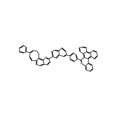 C1=C\c2ccc3ccc(-c4ccc5ccc(-c6ccc(-c7nc8ccccc8c8c9ccccc9c9ccccc9c78)cc6)cc5c4)nc3c2CC\C=C/1c1ccccc1